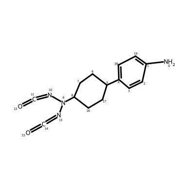 Nc1ccc(C2CCC(N(N=C=O)N=C=O)CC2)cc1